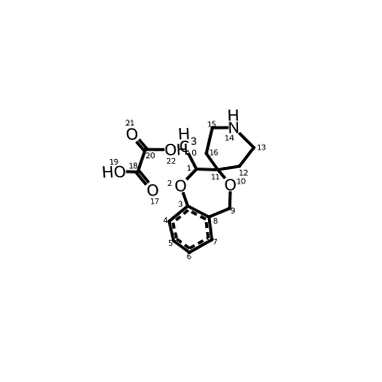 CC1Oc2ccccc2COC12CCNCC2.O=C(O)C(=O)O